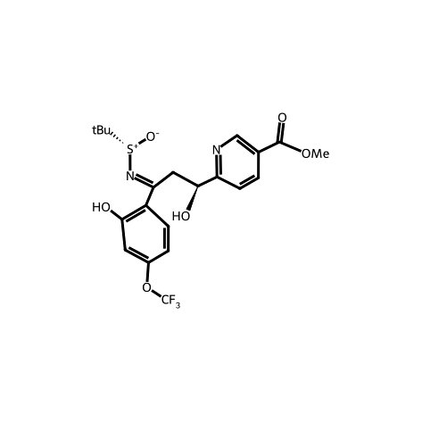 COC(=O)c1ccc([C@@H](O)C/C(=N\[S@@+]([O-])C(C)(C)C)c2ccc(OC(F)(F)F)cc2O)nc1